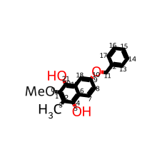 COc1c(C)c(O)c2ccc(OCc3ccccc3)cc2c1O